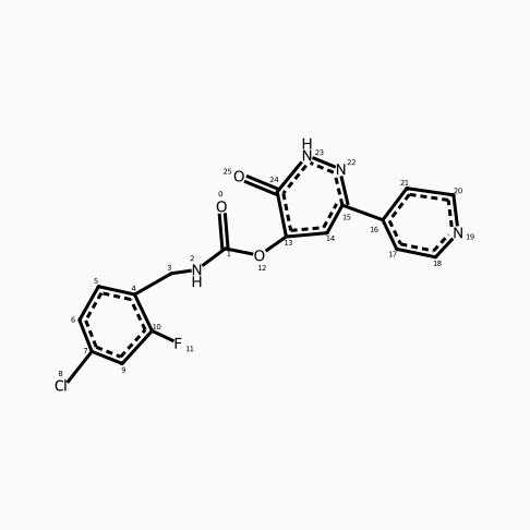 O=C(NCc1ccc(Cl)cc1F)Oc1cc(-c2ccncc2)n[nH]c1=O